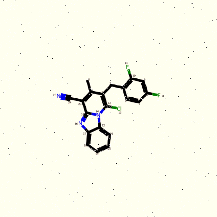 Cc1c(Cc2ccc(F)cc2F)c(Cl)n2c(nc3ccccc32)c1C#N